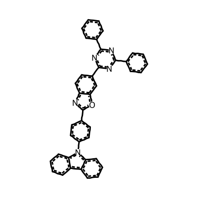 c1ccc(-c2nc(-c3ccccc3)nc(-c3ccc4nc(-c5ccc(-n6c7ccccc7c7ccccc76)cc5)oc4c3)n2)cc1